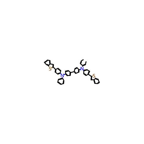 C/C=C\C(=C/C)N(c1ccc(-c2ccc(N(c3ccccc3)c3ccc(-c4cc5ccccc5s4)cc3)cc2)cc1)c1ccc(-c2cc3ccccc3s2)cc1